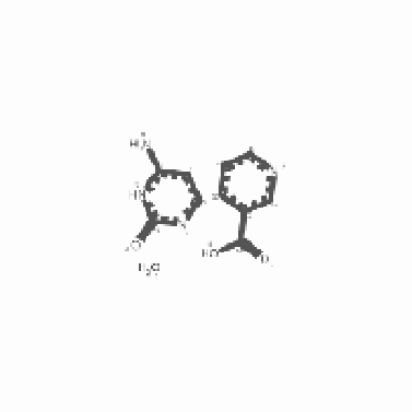 Nc1ccnc(=O)[nH]1.O.O=C(O)c1cccnc1